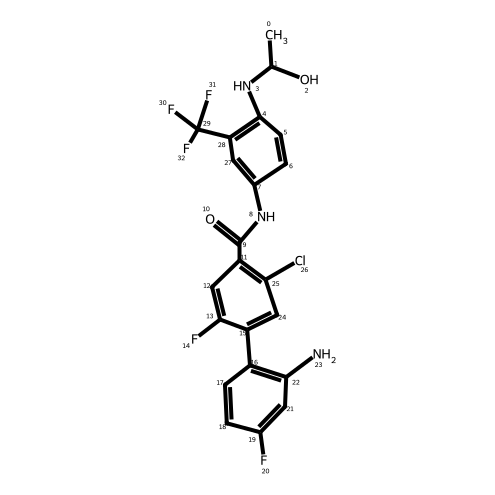 CC(O)Nc1ccc(NC(=O)c2cc(F)c(-c3ccc(F)cc3N)cc2Cl)cc1C(F)(F)F